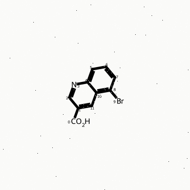 O=C(O)c1cnc2cccc(Br)c2c1